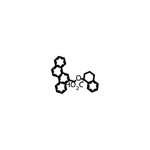 O=C(O)[C@]1(OCc2cc3c4ccccc4ccc3c3ccccc23)CCCc2ccccc21